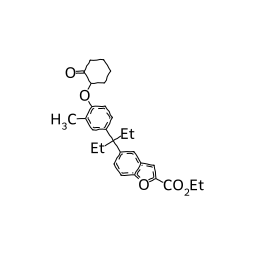 CCOC(=O)c1cc2cc(C(CC)(CC)c3ccc(OC4CCCCC4=O)c(C)c3)ccc2o1